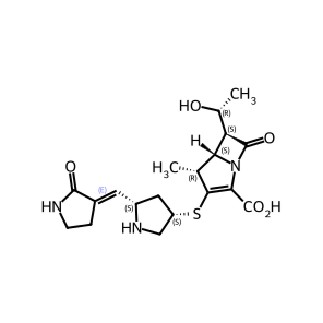 C[C@@H](O)[C@H]1C(=O)N2C(C(=O)O)=C(S[C@@H]3CN[C@H](/C=C4\CCNC4=O)C3)[C@H](C)[C@H]12